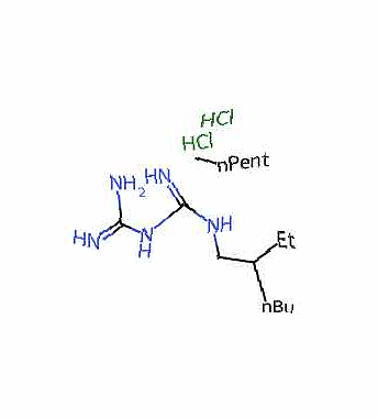 CCCCC(CC)CNC(=N)NC(=N)N.CCCCCC.Cl.Cl